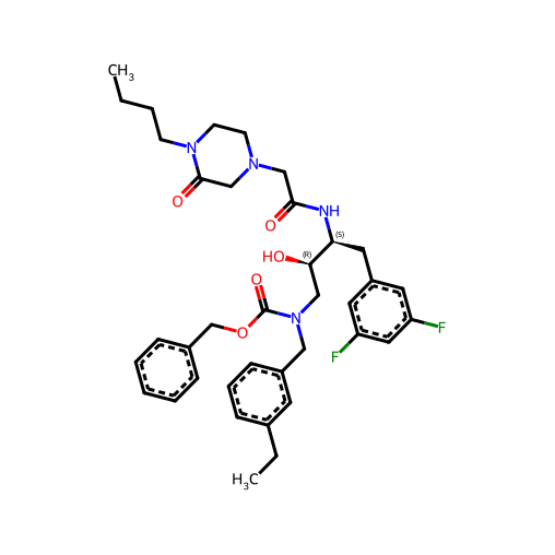 CCCCN1CCN(CC(=O)N[C@@H](Cc2cc(F)cc(F)c2)[C@H](O)CN(Cc2cccc(CC)c2)C(=O)OCc2ccccc2)CC1=O